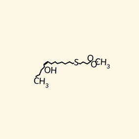 CCCC[C@@H](O)/C=C\CCCCCCCSCCCC(=O)OC